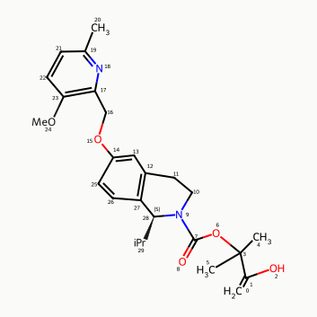 C=C(O)C(C)(C)OC(=O)N1CCc2cc(OCc3nc(C)ccc3OC)ccc2[C@@H]1C(C)C